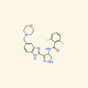 O=C(NC1CNN=C1c1nc2cc(CN3CCOCC3)ccc2[nH]1)c1c(F)cccc1F